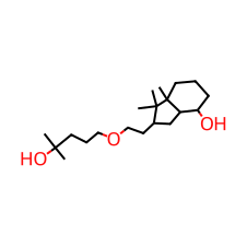 CC(C)(O)CCCOCCC1CC2C(O)CCCC2(C)C1(C)C